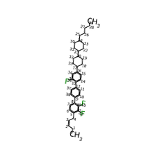 CC/C=C\Cc1ccc(-c2ccc(-c3ccc(C4CCC(C5CCC(CCCCC)CC5)CC4)cc3F)cc2)c(F)c1F